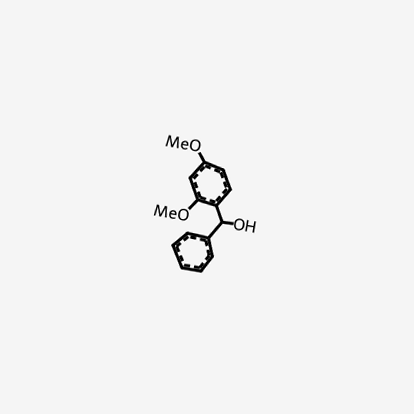 COc1ccc(C(O)c2ccccc2)c(OC)c1